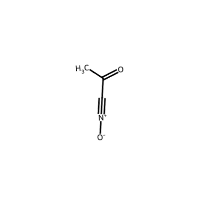 CC(=O)C#[N+][O-]